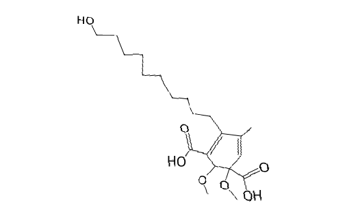 COC1C(C(=O)O)=C(CCCCCCCCCCO)C(C)=CC1(OC)C(=O)O